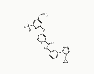 NCc1cc(Oc2ccnc(C(=O)Nc3cccc(-c4nncn4C4CC4)c3)c2)nc(C(F)(F)F)c1